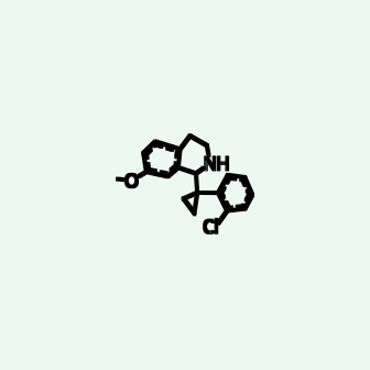 COc1ccc2c(c1)C(C1(c3ccccc3Cl)CC1)NCC2